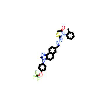 Cc1ccccc1N1C(=O)CS/C1=N\N=C\c1ccc2c(ccc3c2ncn3-c2ccc(OC(F)(F)F)cc2)c1